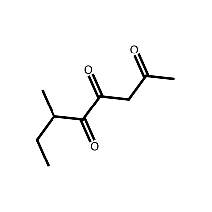 CCC(C)C(=O)C(=O)CC(C)=O